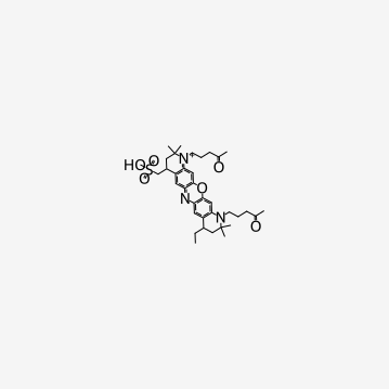 CCC1CC(C)(C)N(CCCC(C)=O)c2cc3c(cc21)N=c1cc2c(cc1O3)=[N+](CCCC(C)=O)C(C)(C)CC2CS(=O)(=O)O